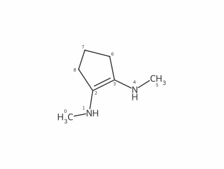 CNC1=C(NC)CCC1